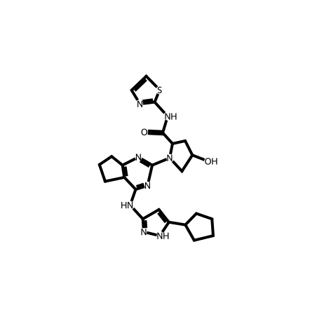 O=C(Nc1nccs1)C1CC(O)CN1c1nc2c(c(Nc3cc(C4CCCC4)[nH]n3)n1)CCC2